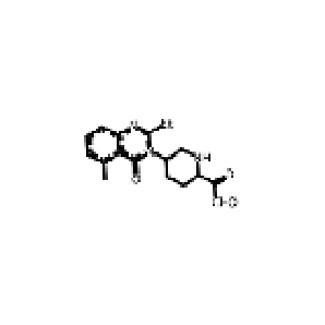 CCc1nc2cccc(C)c2c(=O)n1C1CCC(C(=O)C=O)NC1